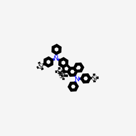 CC(C)[Si](C)(C)C1([Si](C)(C)C)c2cc(N(c3ccccc3)c3ccc([Si](C)(C)C)cc3)ccc2-c2c1cc(N(c1ccccc1)c1ccc([Si](C)(C)C)cc1)c1ccccc21